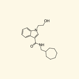 O=C(NCC1CCCCCC1)c1cn(CCO)c2ccccc12